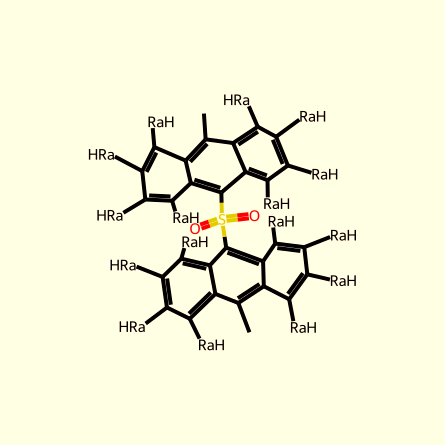 Cc1c2[c]([RaH])[c]([RaH])[c]([RaH])[c]([RaH])c2c(S(=O)(=O)c2c3[c]([RaH])[c]([RaH])[c]([RaH])[c]([RaH])c3c(C)c3[c]([RaH])[c]([RaH])[c]([RaH])[c]([RaH])c23)c2[c]([RaH])[c]([RaH])[c]([RaH])[c]([RaH])c12